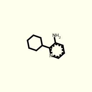 Nc1cccnc1C1CCCCC1